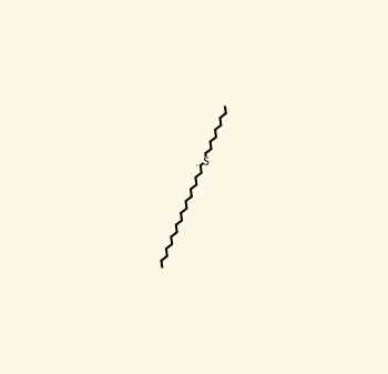 CCCCCCCCCCCCCCCCC[CH]SCCCCCCCCC